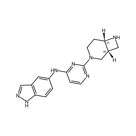 c1cc(Nc2ccc3[nH]ncc3c2)nc(N2CC[C@@H]3NC[C@@H]3C2)n1